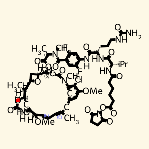 COc1cc2cc(c1Cl)N(C)C(=O)C[C@H](OC(=O)[C@H](C)N(C)C(=O)c1cc(F)c(NC(=O)[C@H](CCCNC(N)=O)NC(=O)[C@@H](NC(=O)CCCCC(=O)ON3C(=O)CCC3=O)C(C)C)cc1F)[C@@]1(C)C[C@@H](O1)[C@H](C)[C@@H]1C[C@@](O)(NC(=O)O1)[C@H](OC)/C=C/C=C(\C)C2